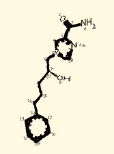 NC(=O)c1cn(C[C@@H](O)CCCc2ccccc2)cn1